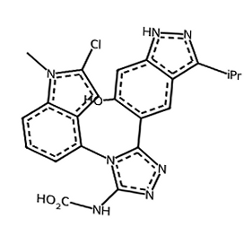 CC(C)c1n[nH]c2cc(O)c(-c3nnc(NC(=O)O)n3-c3cccc4c3cc(Cl)n4C)cc12